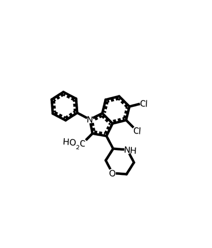 O=C(O)c1c(C2COCCN2)c2c(Cl)c(Cl)ccc2n1-c1ccccc1